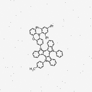 Cc1ccc(-n2c3ccccc3c3c2c2c4ccccc4n(-c4ccc5c(c4)Oc4ccccc4B5c4c(C(C)C)cc(C(C)C)cc4C(C)C)c2c2c4ccccc4n(-c4ccccc4)c32)cc1